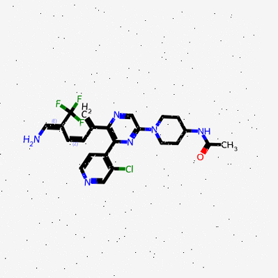 C=C(/C=C\C(=C/N)C(F)(F)F)c1ncc(N2CCC(NC(C)=O)CC2)nc1-c1ccncc1Cl